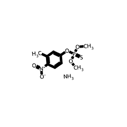 COP(=S)(OC)Oc1ccc([N+](=O)[O-])c(C)c1.N